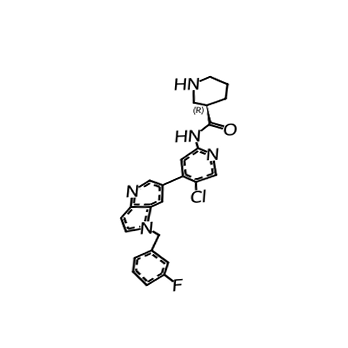 O=C(Nc1cc(-c2cnc3ccn(Cc4cccc(F)c4)c3c2)c(Cl)cn1)[C@@H]1CCCNC1